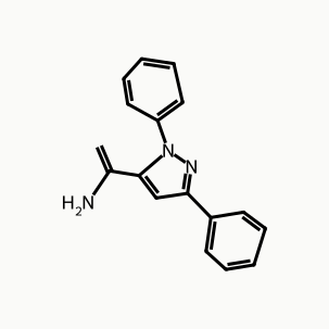 C=C(N)c1cc(-c2ccccc2)nn1-c1ccccc1